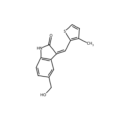 Cc1ccsc1C=C1C(=O)Nc2ccc(CO)cc21